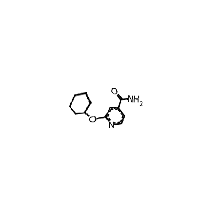 NC(=O)c1ccnc(OC2CCCCC2)c1